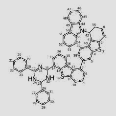 C1=Cc2sc3cc(-c4cccc5sc6c(C7N=C(c8ccccc8)NC(c8ccccc8)N7)cccc6c45)ccc3c2C(n2c3ccccc3c3ccccc32)C1